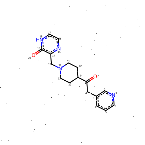 O=C(Cc1cccnc1)C1CCN(Cc2ncc[nH]c2=O)CC1